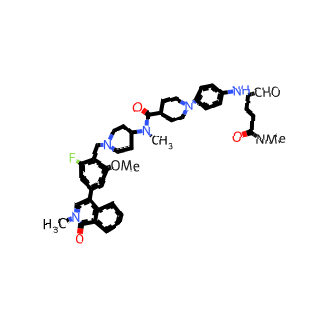 CNC(=O)CCC(C=O)Nc1ccc(N2CCC(C(=O)N(C)C3CCN(Cc4c(F)cc(-c5cn(C)c(=O)c6ccccc56)cc4OC)CC3)CC2)cc1